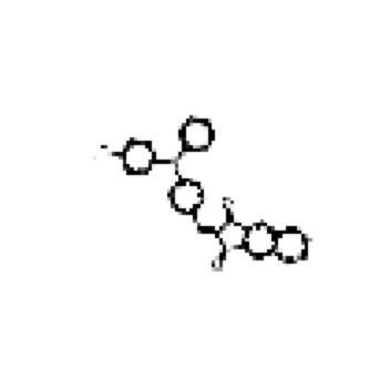 Cc1ccc(N(c2ccccc2)c2ccc(C=C3C(=O)c4cc5ccccc5cc4C3=O)cc2)cc1